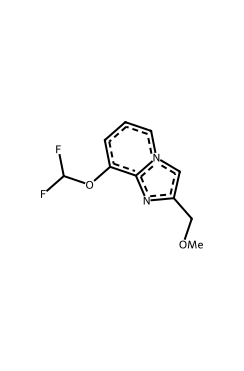 COCc1cn2cccc(OC(F)F)c2n1